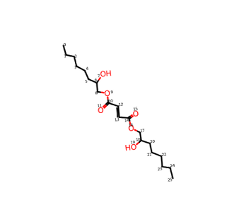 CCCCCCC(O)COC(=O)/C=C/C(=O)OCC(O)CCCCCC